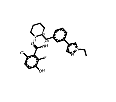 CCn1cc(-c2cccc([C@H](NC(=O)c3c(Cl)ccc(O)c3F)[C@@H]3CCCCN3)c2)cn1